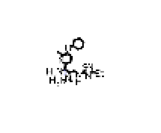 CCc1nsc(NC/C(=C(/N)c2ccc(OC3CCCCC3)c(C)n2)N(C)N)n1